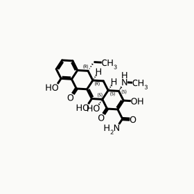 CC[C@H]1c2cccc(O)c2C(=O)C2=C(O)[C@]3(O)C(=O)C(C(N)=O)=C(O)[C@@H](NC)[C@@H]3C[C@@H]21